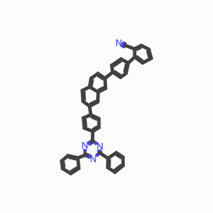 N#Cc1ccccc1-c1ccc(-c2ccc3ccc(-c4ccc(-c5nc(-c6ccccc6)nc(-c6ccccc6)n5)cc4)cc3c2)cc1